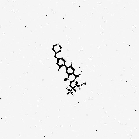 C=Nc1cc(-c2ccc(CN3CCOCC3)cc2F)c(F)cc1C(=O)N(C)CCC(C)(C(=O)NO)S(C)(=O)=O